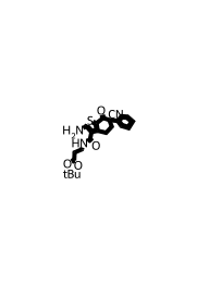 CC(C)(C)OC(=O)CCNC(=O)c1c(N)sc2c1CCC(C#N)(c1ccccc1)C2=O